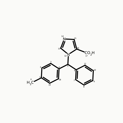 Cc1ccc(C(c2ccccc2)n2cncc2C(=O)O)cc1